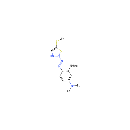 CCSC1=CNN(N=Nc2ccc(N(CC)CC)cc2NC(C)=O)S1